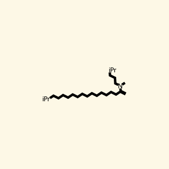 C=C(CCCCCCCCCCCCCCC(C)C)N(C)CCCC(C)C